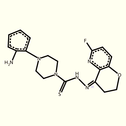 Nc1ccccc1N1CCN(C(=S)N/N=C2/CCOc3ccc(F)nc32)CC1